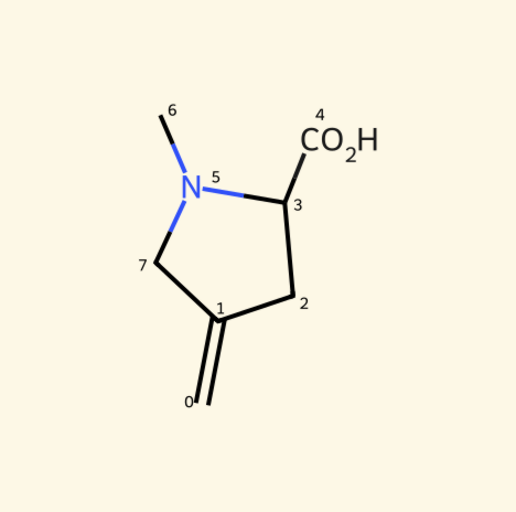 C=C1CC(C(=O)O)N(C)C1